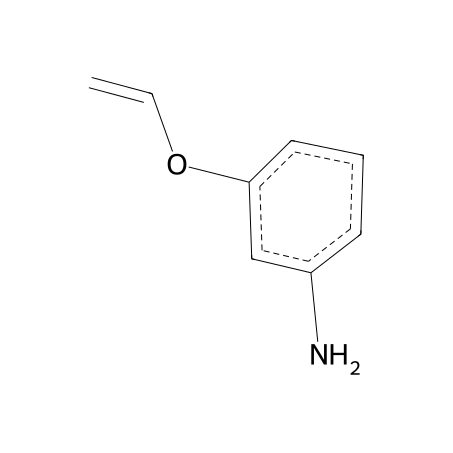 C=COc1cccc(N)c1